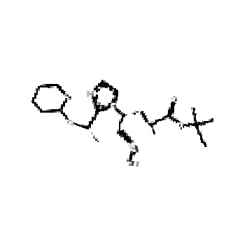 C[C@H](OC1CCCCO1)c1nccn1[C@@H](/C=N/O)CNC(=O)OC(C)(C)C